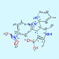 CC1=C(C(=O)O)C(c2cccc([N+](=O)[O-])c2)C(C2(N)C=CC=CN2)=C(C)N1